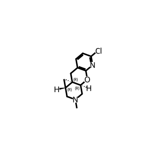 CN1C[C@@H]2C[C@@]23Cc2ccc(Cl)nc2O[C@H]3C1